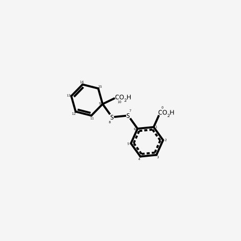 O=C(O)c1ccccc1SSC1(C(=O)O)C=CC=CC1